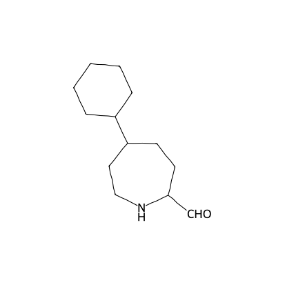 O=CC1CCC(C2CCCCC2)CCN1